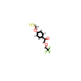 O=C(COCC(F)(F)F)c1ccc(OCS)cc1